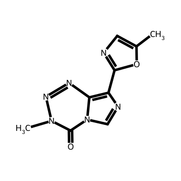 Cc1cnc(-c2ncn3c(=O)n(C)nnc23)o1